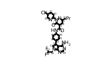 CC(C)c1cc(C(=O)Nc2ccc(-c3cn(CC(F)F)c4ncnc(N)c34)cc2)c(=O)n(-c2ccc(Cl)cn2)n1